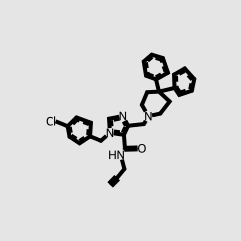 C#CCNC(=O)c1c(CN2CCC(c3ccccc3)(c3ccccc3)CC2)ncn1Cc1ccc(Cl)cc1